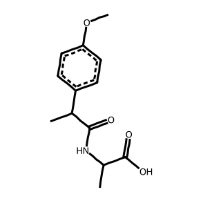 COc1ccc(C(C)C(=O)NC(C)C(=O)O)cc1